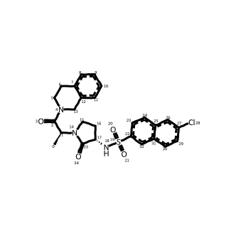 C[C@@H](C(=O)N1CCc2ccccc2C1)N1CC[C@H](NS(=O)(=O)c2ccc3cc(Cl)ccc3c2)C1=O